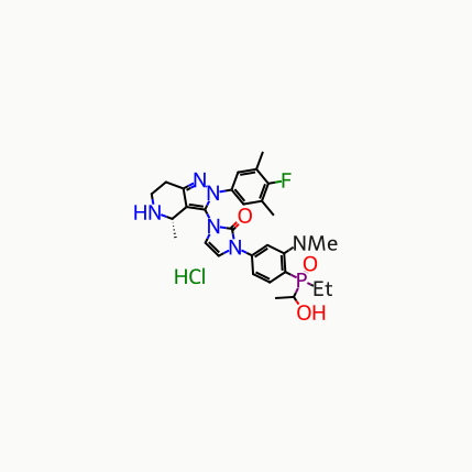 CCP(=O)(c1ccc(-n2ccn(-c3c4c(nn3-c3cc(C)c(F)c(C)c3)CCN[C@H]4C)c2=O)cc1NC)C(C)O.Cl